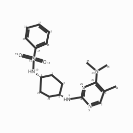 Cc1cnc(N[C@H]2CC[C@@H](NS(=O)(=O)c3ccccc3)CC2)nc1N(C)C